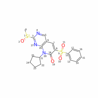 C[S+]([O-])c1ncc2cc(S(=O)(=O)c3ccccc3)c(=O)n(C3CCCC3)c2n1